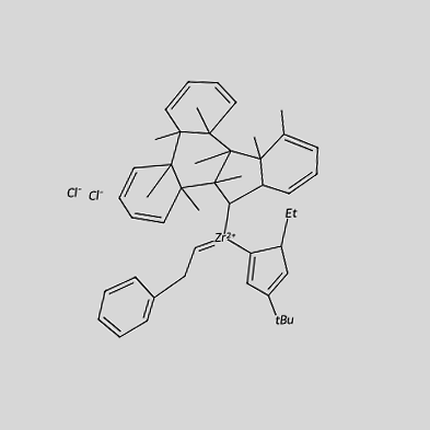 CCC1C=C(C(C)(C)C)C=[C]1/[Zr+2](=[CH]\Cc1ccccc1)[CH]1C2C=CC=C(C)C2(C)C2(C)C3(C)C=CC=CC3(C)C3(C)C=CC=CC3(C)C12C.[Cl-].[Cl-]